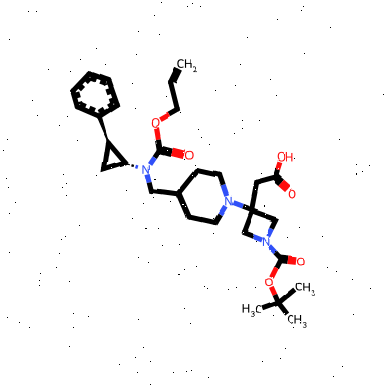 C=CCOC(=O)N(CC1CCN(C2(CC(=O)O)CN(C(=O)OC(C)(C)C)C2)CC1)[C@@H]1C[C@H]1c1ccccc1